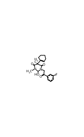 CN1C(=O)C(C)(C2=CCCCC2)C(=O)N(CC(=O)c2cccc(F)c2)C1O